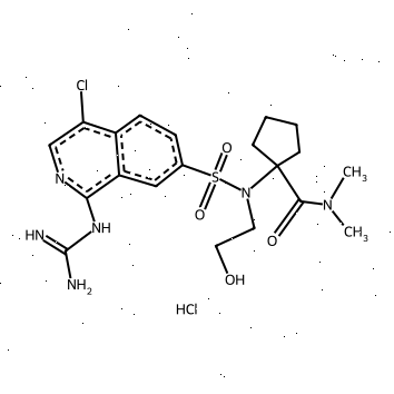 CN(C)C(=O)C1(N(CCO)S(=O)(=O)c2ccc3c(Cl)cnc(NC(=N)N)c3c2)CCCC1.Cl